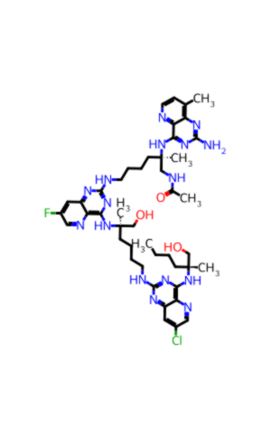 CCCC[C@](C)(CO)Nc1nc(NCCCC[C@](C)(CO)Nc2nc(NCCCC[C@](C)(CNC(C)=O)Nc3nc(N)nc4c(C)ccnc34)nc3cc(F)cnc23)nc2cc(Cl)cnc12